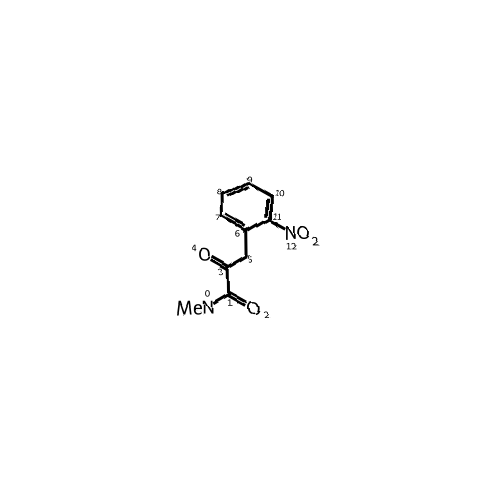 CNC(=O)C(=O)Cc1ccccc1[N+](=O)[O-]